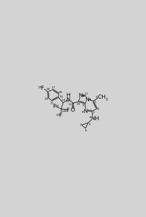 Cc1cc(NC2CC2)nc2c(C(=O)NC(c3ccc(F)cc3)C(F)(F)F)ncn12